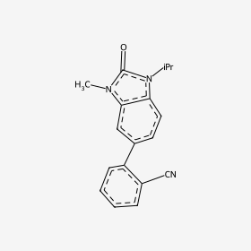 CC(C)n1c(=O)n(C)c2cc(-c3ccccc3C#N)ccc21